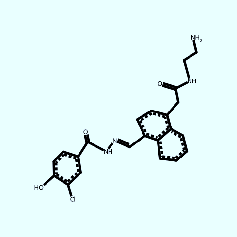 NCCNC(=O)Cc1ccc(/C=N/NC(=O)c2ccc(O)c(Cl)c2)c2ccccc12